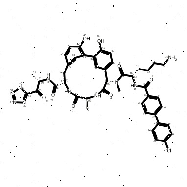 C[C@@H]1NC(=O)[C@@H](N(C)C(=O)[C@H](CCCCN)NC(=O)c2ccc(-c3ccc(Cl)cc3)cc2)c2ccc(O)c(c2)-c2cc(ccc2O)C[C@@H](C(=O)N[C@@H](C)C(=O)c2nnn[nH]2)NC1=O